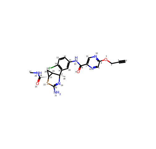 C#CCOc1cnc(C(=O)Nc2ccc(F)c([C@@]3(C)N=C(N)S[C@@]4(C(=O)NC)CC43)c2)cn1